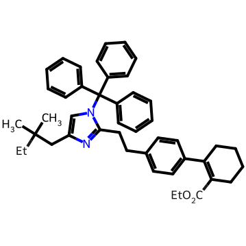 CCOC(=O)C1=C(c2ccc(CCc3nc(CC(C)(C)CC)cn3C(c3ccccc3)(c3ccccc3)c3ccccc3)cc2)CCCC1